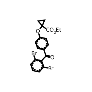 CCOC(=O)C1(Oc2ccc(C(=O)c3c(Br)cccc3Br)cc2)CC1